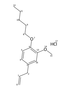 C=CCc1ccc(OCCCCC)c(OC)c1.Cl